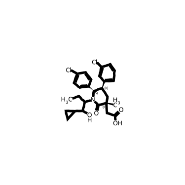 CCC(C(O)C1CC1)N1C(=O)[C@@](C)(CC(=O)O)C[C@H](c2cccc(Cl)c2)[C@H]1c1ccc(Cl)cc1